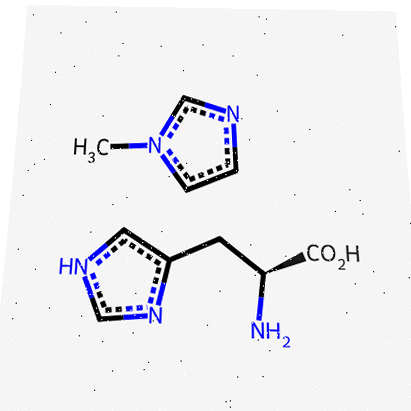 Cn1ccnc1.N[C@@H](Cc1c[nH]cn1)C(=O)O